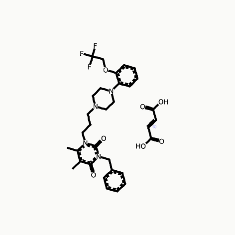 Cc1c(C)n(CCCN2CCN(c3ccccc3OCC(F)(F)F)CC2)c(=O)n(Cc2ccccc2)c1=O.O=C(O)/C=C/C(=O)O